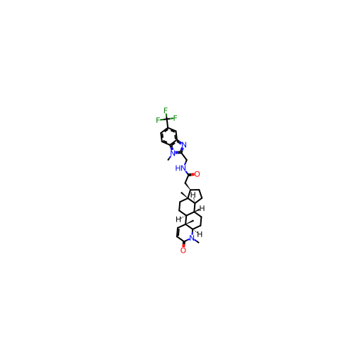 CN1C(=O)C=C[C@]2(C)[C@H]3CC[C@]4(C)[C@@H](CC(=O)NCc5nc6cc(C(F)(F)F)ccc6n5C)CC[C@H]4[C@@H]3CC[C@@H]12